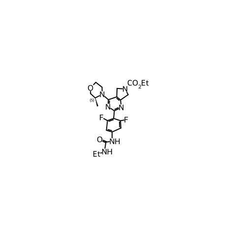 CCNC(=O)Nc1cc(F)c(-c2nc3c(c(N4CCOC[C@@H]4C)n2)CN(C(=O)OCC)C3)c(F)c1